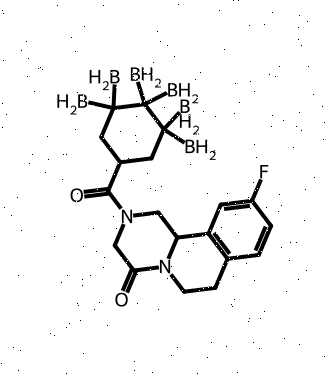 BC1(B)CC(C(=O)N2CC(=O)N3CCc4ccc(F)cc4C3C2)CC(B)(B)C1(B)B